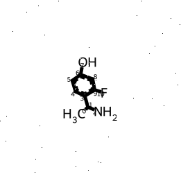 CC(N)c1ccc(O)cc1F